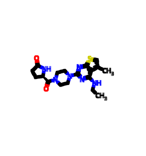 CCNc1nc(N2CCN(C(=O)[C@H]3CCC(=O)N3)CC2)nc2scc(C)c12